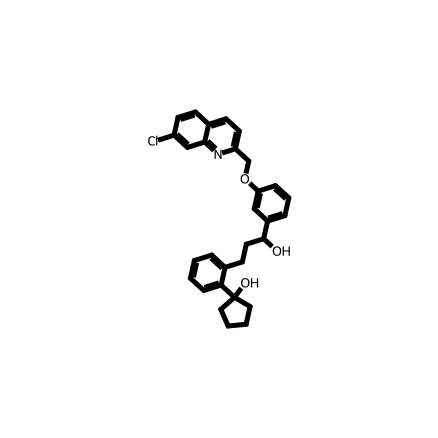 OC(CCc1ccccc1C1(O)CCCC1)c1cccc(OCc2ccc3ccc(Cl)cc3n2)c1